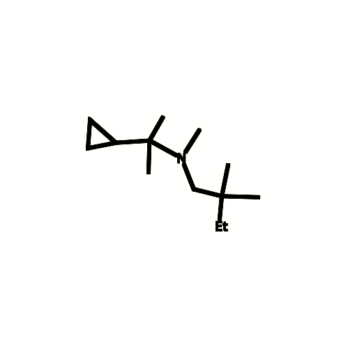 CCC(C)(C)CN(C)C(C)(C)C1CC1